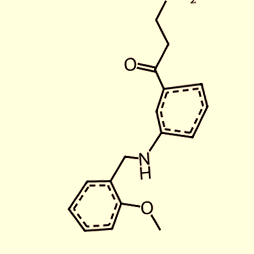 COc1ccccc1CNc1cccc(C(=O)CCN)c1